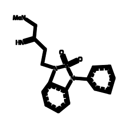 CNCC(=N)CCN1c2ccccc2N(c2ccccc2)S1(=O)=O